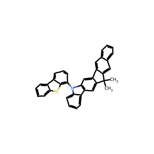 CC1(C)c2cc3ccccc3cc2-c2cc3c(cc21)c1ccccc1n3-c1cccc2c1sc1ccccc12